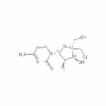 Nc1ccn([C@@H]2O[C@@](CO)(CCl)[C@@H](O)[C@H]2Cl)c(=O)n1